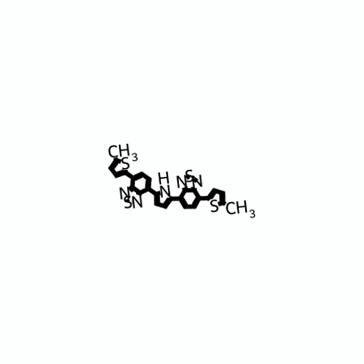 Cc1ccc(-c2ccc(-c3ccc(-c4ccc(-c5ccc(C)s5)c5nsnc45)[nH]3)c3nsnc23)s1